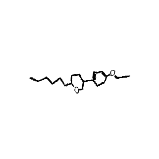 CCCCCCC1CCC(c2ccc(OCC)cc2)CO1